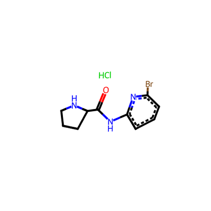 Cl.O=C(Nc1cccc(Br)n1)C1CCCN1